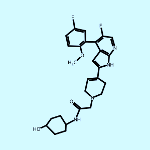 COc1ccc(F)cc1-c1c(F)cnc2[nH]c(C3=CCN(CC(=O)NC4CCC(O)CC4)CC3)cc12